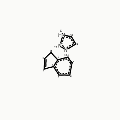 C1=Cc2ccccc2C1.c1c[nH]nn1